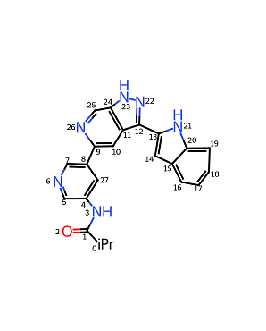 CC(C)C(=O)Nc1cncc(-c2cc3c(-c4cc5ccccc5[nH]4)n[nH]c3cn2)c1